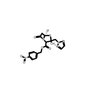 CC1(Cn2nccn2)S[C@@H]2CC(=O)N2C1C(=O)OCc1ccc([N+](=O)[O-])cc1